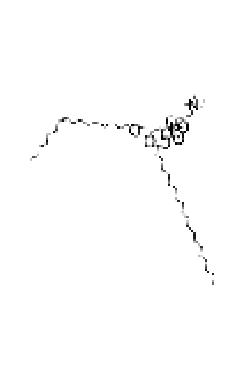 CCCCCC/C=C\CCCCCCCCOC[C@H](COP(=O)([O-])OCC[N+](C)(C)C)OC(=O)CCCCCCCCCCCCCCCCCCC